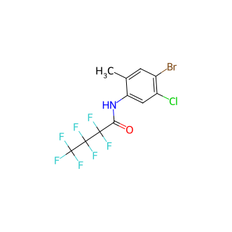 Cc1cc(Br)c(Cl)cc1NC(=O)C(F)(F)C(F)(F)C(F)(F)F